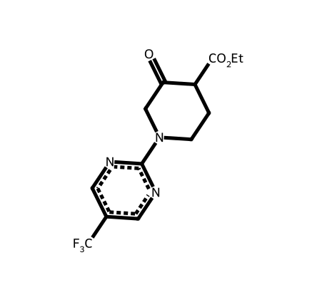 CCOC(=O)C1CCN(c2ncc(C(F)(F)F)cn2)CC1=O